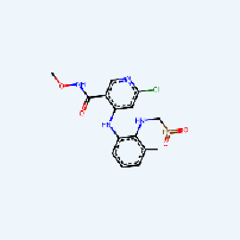 CONC(=O)c1cnc(Cl)cc1Nc1cccc(C)c1NC[SH](=O)=O